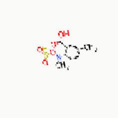 Cc1ccc(N(C)O[SH](=O)=O)c(C(=O)O)c1